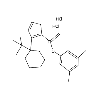 Cl.Cl.[CH2]=[Ti]([O]c1cc(C)cc(C)c1)[C]1=C(C2(C(C)(C)C)CCCCC2)C=CC1